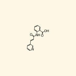 O=C(C=Cc1cccnc1)Nc1ccccc1C(=O)O